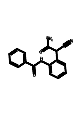 N#CC(C(N)=O)c1ccccc1NC(=O)c1ccccc1